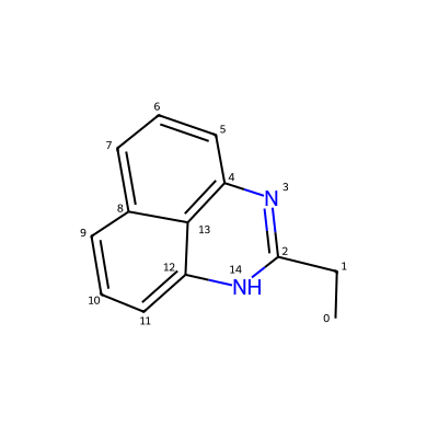 CCC1=Nc2cccc3cccc(c23)N1